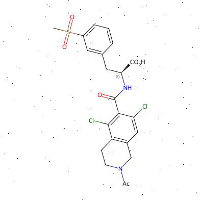 CC(=O)N1CCc2c(cc(Cl)c(C(=O)N[C@@H](Cc3cccc(S(C)(=O)=O)c3)C(=O)O)c2Cl)C1